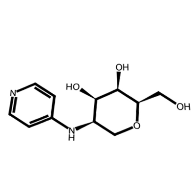 OC[C@H]1OC[C@@H](Nc2ccncc2)[C@@H](O)[C@H]1O